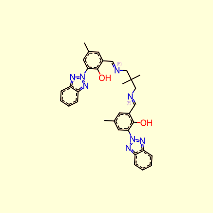 Cc1cc(/C=N/CC(C)(C)C/N=C/c2cc(C)cc(-n3nc4ccccc4n3)c2O)c(O)c(-n2nc3ccccc3n2)c1